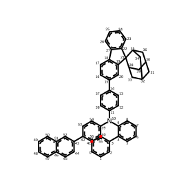 c1ccc(-c2ccccc2N(c2ccc(-c3ccc4c(c3)C3(c5ccccc5-4)C4CC5CC(C4)CC3C5)cc2)c2ccc(-c3ccc4ccccc4c3)cc2)cc1